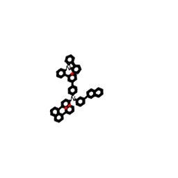 c1ccc(-c2cccc3cccc(-c4ccc(N(c5ccc(-c6cccc(-c7ccccc7-n7c8ccccc8c8ccccc87)c6)cc5)c5cccc(-c6ccc7ccccc7c6)c5)cc4)c23)cc1